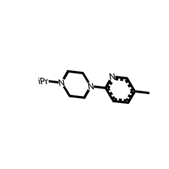 Cc1ccc(N2CCN(C(C)C)CC2)nc1